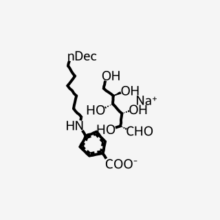 CCCCCCCCCCCCCCCCNc1ccc(C(=O)[O-])cc1.O=C[C@H](O)[C@@H](O)[C@H](O)[C@H](O)CO.[Na+]